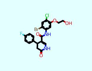 O=C1CC(c2ccc(F)cc2)C(C(=O)Nc2cc(OCCO)c(Cl)cc2Br)=CN1